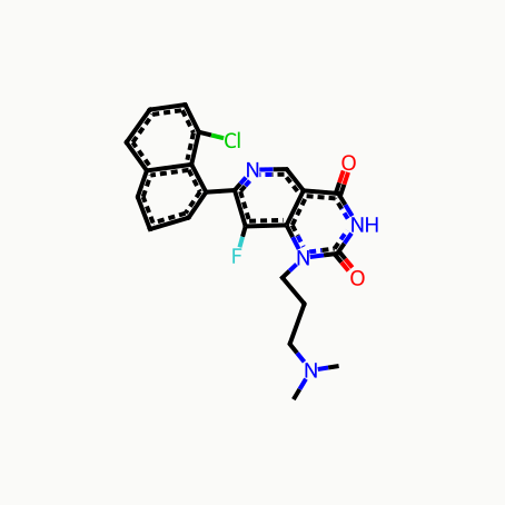 CN(C)CCCn1c(=O)[nH]c(=O)c2cnc(-c3cccc4cccc(Cl)c34)c(F)c21